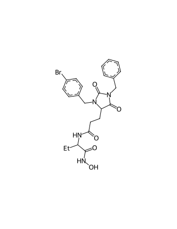 CCC(NC(=O)CCC1C(=O)N(Cc2ccccc2)C(=O)N1Cc1ccc(Br)cc1)C(=O)NO